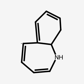 [C]1=CC=CNC2CC=CC=C12